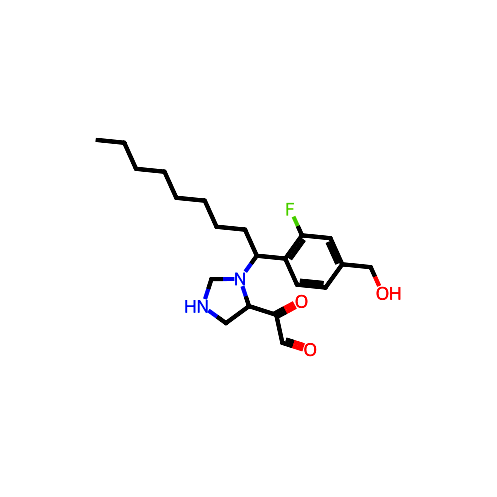 CCCCCCCCC(c1ccc(CO)cc1F)N1CNCC1C(=O)C=O